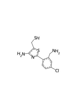 NCc1cc(Cl)ccc1-c1nc(N)c(CS)s1